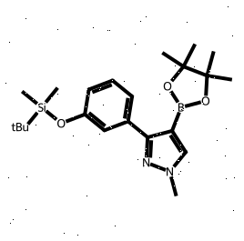 Cn1cc(B2OC(C)(C)C(C)(C)O2)c(-c2cccc(O[Si](C)(C)C(C)(C)C)c2)n1